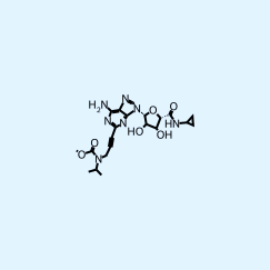 COC(=O)N(CC#Cc1nc(N)c2ncn([C@@H]3O[C@H](C(=O)NC4CC4)C(O)C3O)c2n1)C(C)C